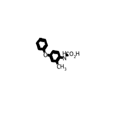 Cc1cc(Oc2ccccc2)ccc1NC(=O)O